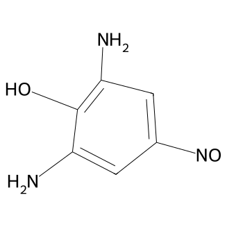 Nc1cc(N=O)cc(N)c1O